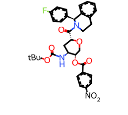 CC(C)(C)OC(=O)N[C@H]1C[C@H](C(=O)N2CCc3ccccc3[C@@H]2c2ccc(F)cc2)OC[C@@H]1OC(=O)c1ccc([N+](=O)[O-])cc1